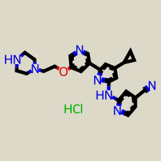 Cl.N#Cc1ccnc(Nc2cc(C3CC3)cc(-c3cncc(OCCN4CCNCC4)c3)n2)c1